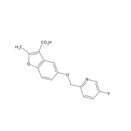 Cc1oc2ccc(OCc3ccc(F)cn3)cc2c1C(=O)O